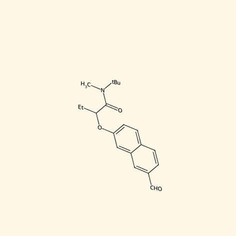 CCC(Oc1ccc2ccc(C=O)cc2c1)C(=O)N(C)C(C)(C)C